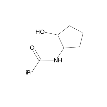 CC(C)C(=O)NC1CCCC1O